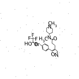 CN1CCC(N(C)C(=O)CCc2cnoc2-c2ccc(Br)cc2)CC1.O=C(O)C(F)(F)F